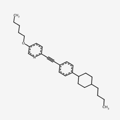 CCCCCOc1ccc(C#Cc2ccc(C3CCC(CCCC)CC3)cc2)nc1